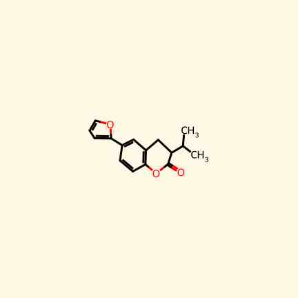 CC(C)C1Cc2cc(-c3ccco3)ccc2OC1=O